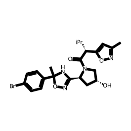 Cc1cc([C@H](C(=O)N2C[C@H](O)C[C@H]2C2=NOC(C)(c3ccc(Br)cc3)N2)C(C)C)on1